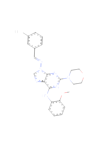 COc1ccccc1Nc1nc(N2CCOCC2)nc2c1ncn2/N=C/c1cccc(C)c1